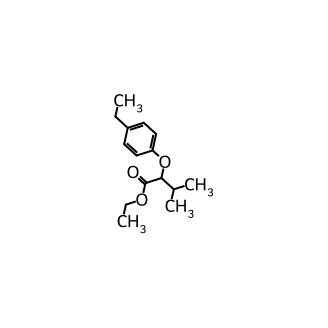 CCOC(=O)C(Oc1ccc(CC)cc1)C(C)C